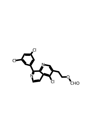 O=COCCc1cnc2c(-c3cc(Cl)cc(Cl)c3)nccc2c1Cl